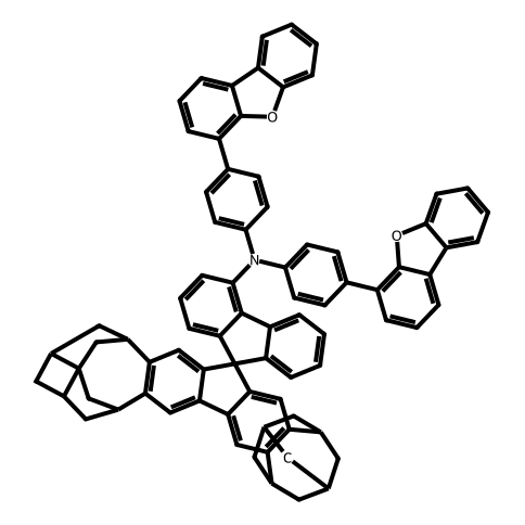 c1ccc2c(c1)-c1c(N(c3ccc(-c4cccc5c4oc4ccccc45)cc3)c3ccc(-c4cccc5c4oc4ccccc45)cc3)cccc1C21c2cc3c(cc2-c2cc4c(cc21)C1CC2CC5CC4CC52C1)C1CC2CC(C1)CC3C2